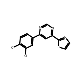 Clc1ccc(-c2cc(-c3ncco3)ncn2)cc1Cl